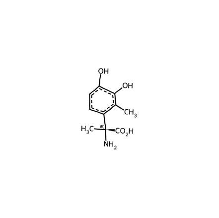 Cc1c([C@@](C)(N)C(=O)O)ccc(O)c1O